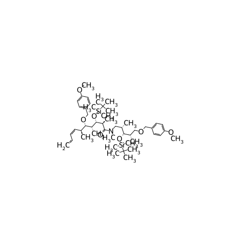 C=C/C=C\[C@H](C)[C@H](OCc1ccc(OC)cc1)[C@@H](C)[C@H](O[Si](C)(C)C(C)(C)C)[C@@H](C)C(=O)N(C)C[C@H](C)[C@@H](O[Si](C)(C)C(C)(C)C)[C@@H](C)COCc1ccc(OC)cc1